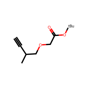 C#CC(C)COCC(=O)OC(C)(C)C